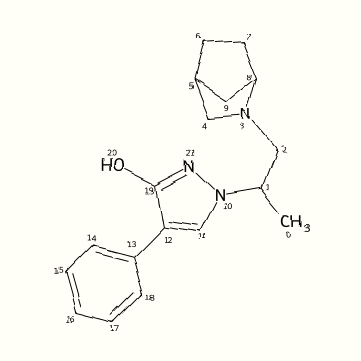 CC(CN1CC2CCC1C2)n1cc(-c2ccccc2)c(O)n1